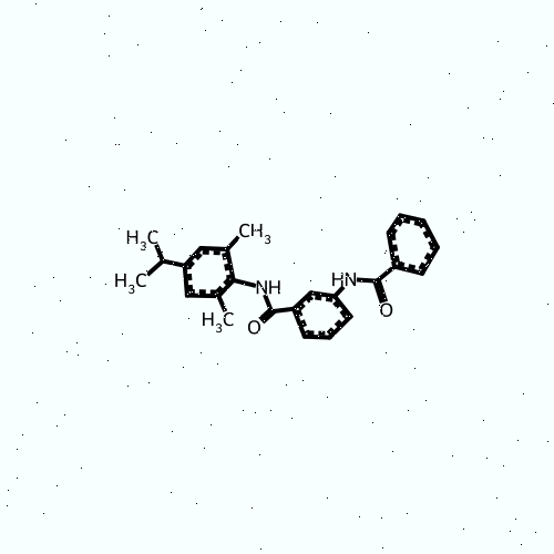 Cc1cc(C(C)C)cc(C)c1NC(=O)c1cccc(NC(=O)c2ccccc2)c1